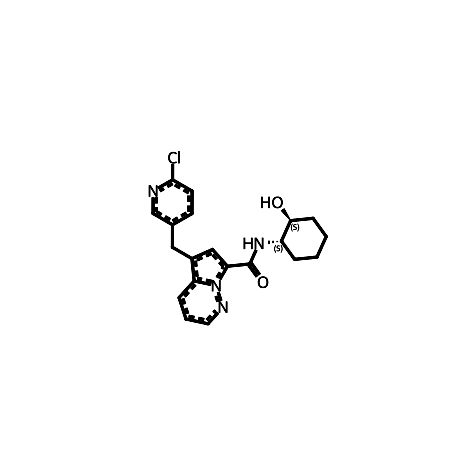 O=C(N[C@H]1CCCC[C@@H]1O)c1cc(Cc2ccc(Cl)nc2)c2cccnn12